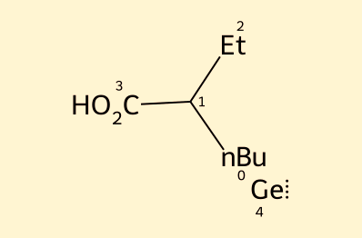 CCCCC(CC)C(=O)O.[Ge]